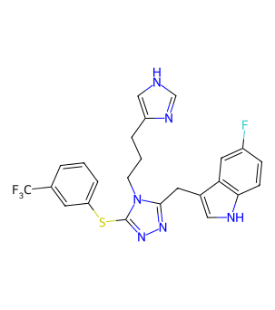 Fc1ccc2[nH]cc(Cc3nnc(Sc4cccc(C(F)(F)F)c4)n3CCCc3c[nH]cn3)c2c1